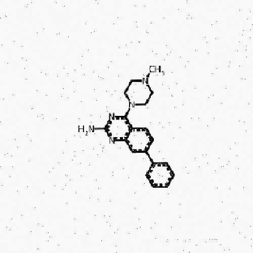 CN1CCN(c2nc(N)nc3cc(-c4ccccc4)ccc23)CC1